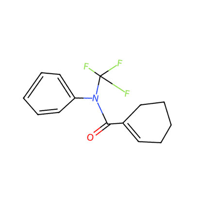 O=C(C1=CCCCC1)N(c1ccccc1)C(F)(F)F